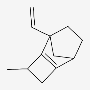 C=CC12CCC(C1)C1=C2C(C)C1